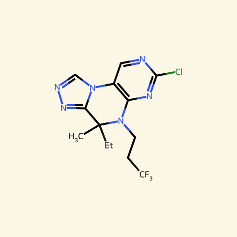 CCC1(C)c2nncn2-c2cnc(Cl)nc2N1CCC(F)(F)F